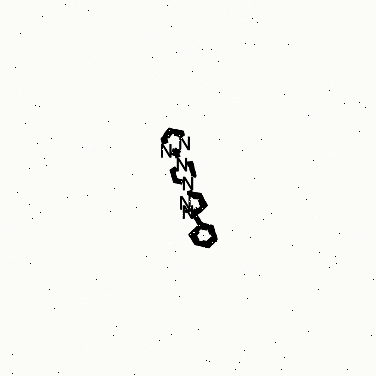 c1ccc(-c2ccc(N3CCN(c4ncccn4)CC3)nn2)cc1